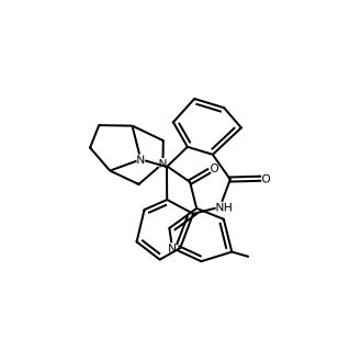 Cc1cncc(C(=O)N2CC3CCC(C2)N3C2c3ccccc3NC(=O)c3ccccc32)c1